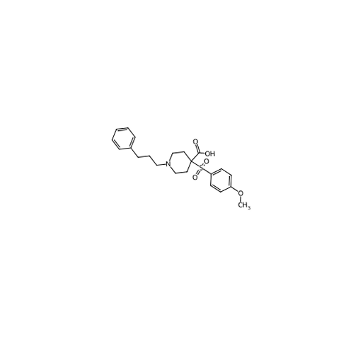 COc1ccc(S(=O)(=O)C2(C(=O)O)CCN(CCCc3ccccc3)CC2)cc1